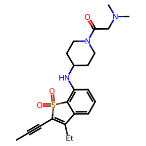 CC#CC1=C(CC)c2cccc(NC3CCN(C(=O)CN(C)C)CC3)c2S1(=O)=O